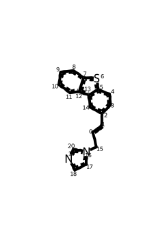 C(=Cc1ccc2sc3ccccc3c2c1)Cn1ccnc1